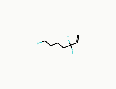 C=CC(F)(F)CCCCF